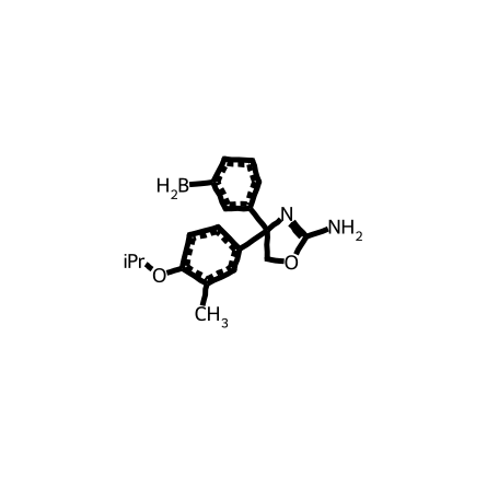 Bc1cccc(C2(c3ccc(OC(C)C)c(C)c3)COC(N)=N2)c1